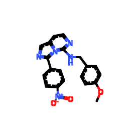 COc1ccc(CNc2nccc3cnc(-c4ccc([N+](=O)[O-])cc4)n23)cc1